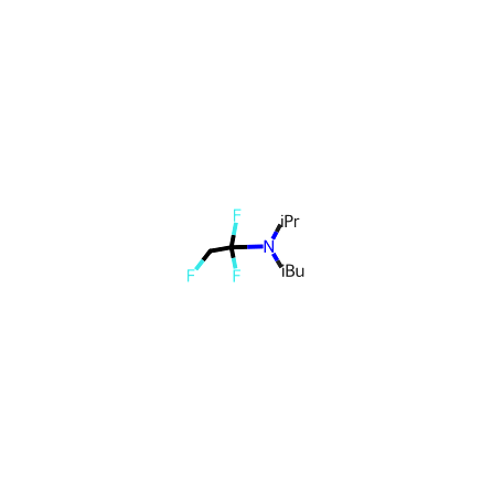 CCC(C)N(C(C)C)C(F)(F)CF